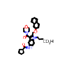 O=C(O)CCCn1c(COc2ccc3ccccc3c2)c(C(=O)N2CCOCC2)c2cc(NC(=O)C3CCCC3)ccc21